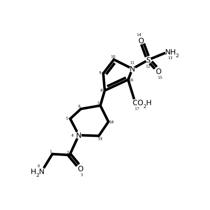 NCC(=O)N1CCC(c2ccn(S(N)(=O)=O)c2C(=O)O)CC1